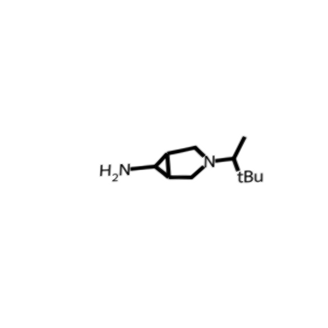 CC(N1CC2C(N)C2C1)C(C)(C)C